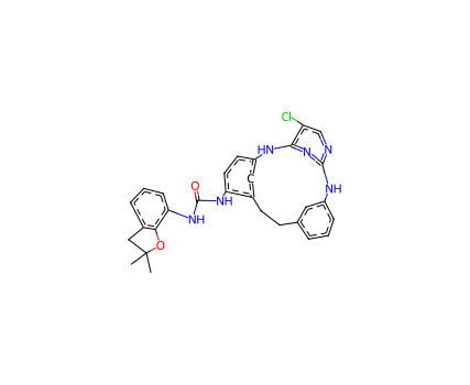 CC1(C)Cc2cccc(NC(=O)Nc3ccc4cc3CCc3cccc(c3)Nc3ncc(Cl)c(n3)N4)c2O1